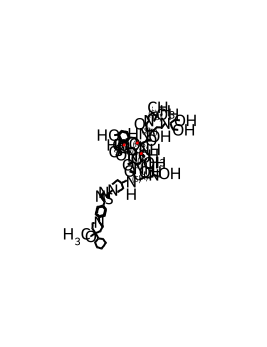 COC1(C2CCCCC2)CCN(c2ccc(-c3nnc(N4CCC(CN[C@@H](C[C@@H](O)CNCO)C(=O)N[C@H](C(=O)N5C[C@H](O)C[C@H]5C(=O)N[C@H](C(=O)N[C@H](C(=O)N5C[C@@H](O)[C@@H](C)C5)[C@H](O)CCNC(CO)CO)[C@H](O)Cc5ccc(O)c(OS(=O)(=O)O)c5)[C@@H](C)O)CC4)s3)cc2)CC1